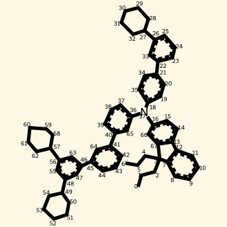 CCCC1(CCC)c2ccccc2-c2ccc(N(c3ccc(-c4cccc(C5CCCCC5)c4)cc3)c3cccc(-c4cccc(-c5cc(C6CCCCC6)cc(C6CCCCC6)c5)c4)c3)cc21